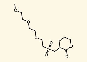 COCCOCCOCCS(=O)(=O)CC1CCCOC1=O